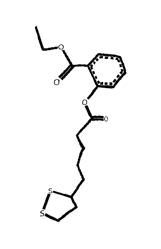 CCOC(=O)c1ccccc1OC(=O)CCCCC1CCSS1